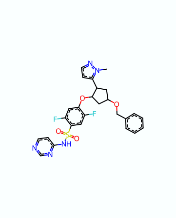 Cn1nccc1C1CC(OCc2ccccc2)CC1Oc1cc(F)c(S(=O)(=O)Nc2ccncn2)cc1F